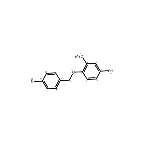 COc1cc(O)ccc1OCc1ccc(Br)cc1